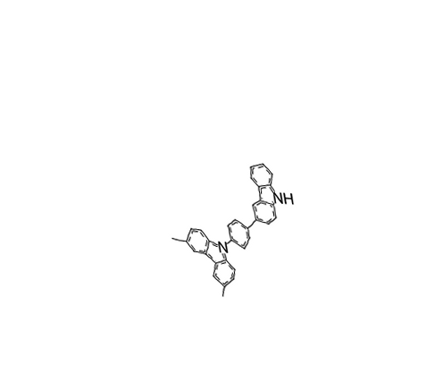 Cc1ccc2c(c1)c1cc(C)ccc1n2-c1ccc(-c2ccc3[nH]c4ccccc4c3c2)cc1